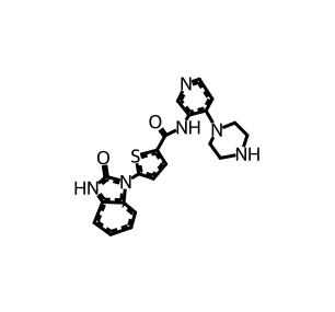 O=C(Nc1cnccc1N1CCNCC1)c1ccc(-n2c(=O)[nH]c3ccccc32)s1